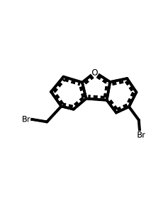 BrCc1ccc2oc3ccc(CBr)cc3c2c1